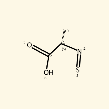 C[C@H](N=S)C(=O)O